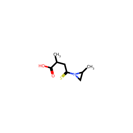 CC(CC(=S)N1CC1C)C(=O)O